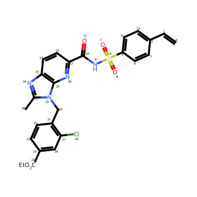 C=Cc1ccc(S(=O)(=O)NC(=O)c2ccc3nc(C)n(Cc4ccc(C(=O)OCC)cc4Cl)c3n2)cc1